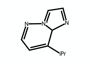 CC(C)C1=CC=N[N+]2=CC=NC12